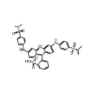 CN(C)S(=O)(=O)c1ccc(Nc2ccc3c(-c4ccccc4S(=O)(=O)O)c4ccc(Nc5ccc(S(=O)(=O)N(C)C)cc5)cc4[o+]c3c2)cc1